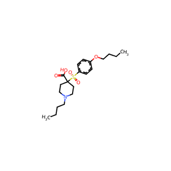 CCCCOc1ccc(S(=O)(=O)C2(C(=O)O)CCN(CCCC)CC2)cc1